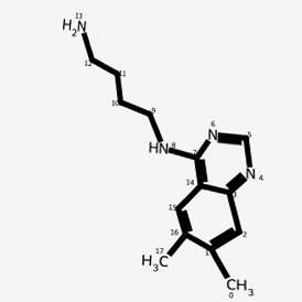 Cc1cc2ncnc(NCCCCN)c2cc1C